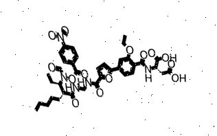 CCCCC[C@@H](C(=O)NCNC(=O)c1ccc(-c2ccc(C(=O)N[C@@H](CC(=O)O)C(=O)O)c(OCC)c2)o1)[C@@H](CC)N(C=O)OC(=O)c1ccc([N+](=O)[O-])cc1